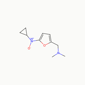 CN(C)Cc1ccc([NH+]([O-])C2CC2)o1